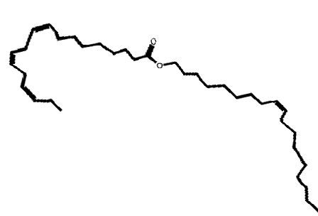 CC/C=C\C/C=C\C/C=C\CCCCCCCC(=O)OCCCCCCCC/C=C\CCCCCCCC